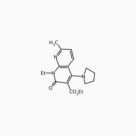 CCOC(=O)c1c(N2CCCC2)c2ccc(C)nc2n(CC)c1=O